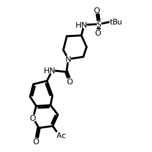 CC(=O)c1cc2cc(NC(=O)N3CCC(NS(=O)(=O)C(C)(C)C)CC3)ccc2oc1=O